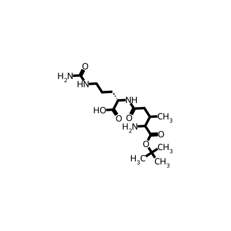 CC(CC(=O)N[C@@H](CCCNC(N)=O)C(=O)O)C(N)C(=O)OC(C)(C)C